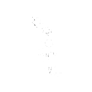 O=C(O)N1CCC(N(C(=O)c2ccc(-n3cc(-c4ccncn4)cn3)cc2)C2CC2)CC1